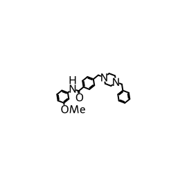 COc1cccc(NC(=O)c2ccc(CN3CCN(Cc4ccccc4)CC3)cc2)c1